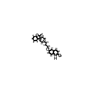 CC(=O)C1(c2ccccc2)CCN(CCCOc2ccc3[nH]c(=O)ccc3c2)CC1